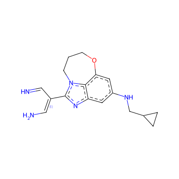 N=C/C(=C\N)c1nc2cc(NCC3CC3)cc3c2n1CCCO3